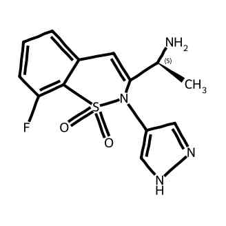 C[C@H](N)C1=Cc2cccc(F)c2S(=O)(=O)N1c1cn[nH]c1